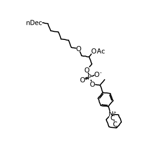 CCCCCCCCCCCCCCCCOCC(COP(=O)([O-])OC(C)c1ccc([N+]23CCC(CC2)CC3)cc1)OC(C)=O